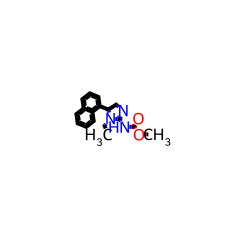 CCN1C(NC(=O)OC)=NCC1c1cccc2ccccc12